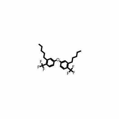 CCCCCc1cc(Oc2ccc(C(F)(F)F)c(CCCCC)c2)ccc1C(F)(F)F